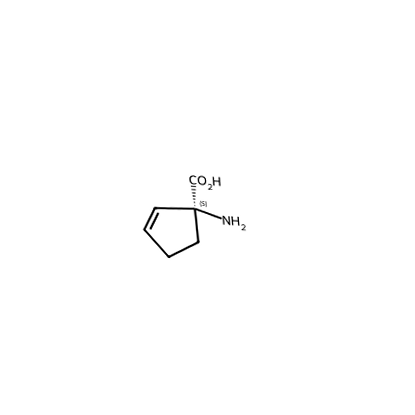 N[C@]1(C(=O)O)C=CCC1